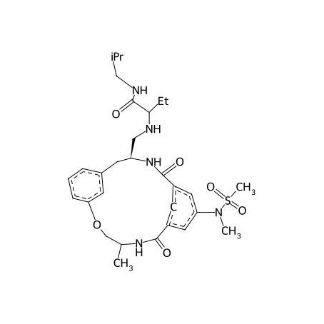 CCC(NC[C@@H]1Cc2cccc(c2)OCC(C)NC(=O)c2cc(cc(N(C)S(C)(=O)=O)c2)C(=O)N1)C(=O)NCC(C)C